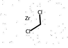 ClCCl.[Zr]